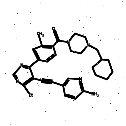 CCc1ncnc(-c2ccc(C(=O)N3CCN(CC4CCCCC4)CC3)c(C)c2)c1C#Cc1ccc(N)nc1